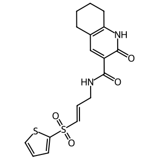 O=C(NC/C=C/S(=O)(=O)c1cccs1)c1cc2c([nH]c1=O)CCCC2